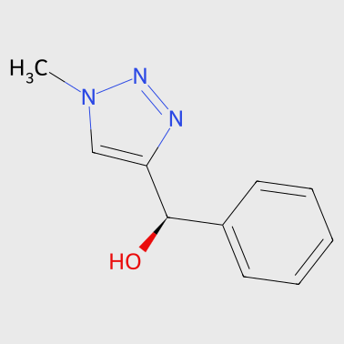 Cn1cc([C@H](O)c2ccccc2)nn1